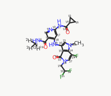 [2H]C([2H])([2H])NC(=O)c1cnc(NC(=O)C2CC2)cc1Nc1cn(C)c2c(F)cn(CC(F)F)c(=O)c12